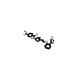 COC(=O)c1ccc(C(=O)Nc2ccc(CCOc3ccccc3-c3c[nH]cn3)cc2)cc1